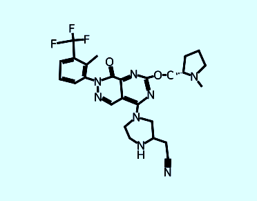 Cc1c(-n2ncc3c(N4CCNC(CC#N)C4)nc(OC[C@@H]4CCCN4C)nc3c2=O)cccc1C(F)(F)F